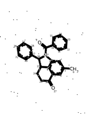 Cc1cc2c3c(c1)N(C(=O)c1ccccc1)C(c1ccccc1)C3CCC2=O